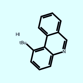 CC(C)(C)c1cccc2ncc3ccccc3c12.I